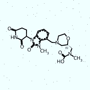 CN(C[C@@H]1CN(Cc2cccc3c2n(C)c(=O)n3C2CCC(=O)NC2=O)CCO1)C(=O)O